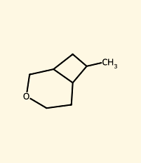 CC1CC2COCCC12